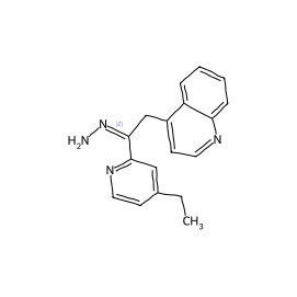 CCc1ccnc(/C(Cc2ccnc3ccccc23)=N\N)c1